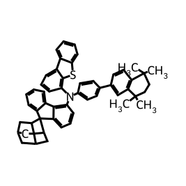 CC1(C)CCC(C)(C)c2cc(-c3ccc(N(c4cccc5c4-c4ccccc4C54C5CC6CC7CC4C75C6)c4cccc5c4sc4ccccc45)cc3)ccc21